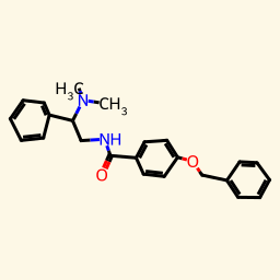 CN(C)C(CNC(=O)c1ccc(OCc2ccccc2)cc1)c1ccccc1